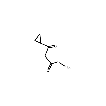 CCCCSC(=O)CC(=O)C1CC1